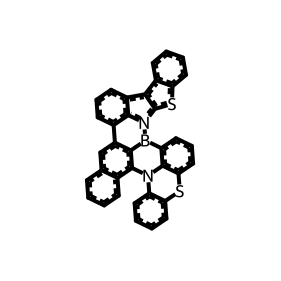 c1ccc2c(c1)Sc1cccc3c1N2c1c2c(cc4ccccc14)-c1cccc4c5c6ccccc6sc5n(c14)B32